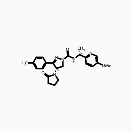 COc1ccc([C@@H](C)NC(=O)N2C[C@H](N3CCCC3=O)C(c3ccc(C)cc3)=N2)nc1